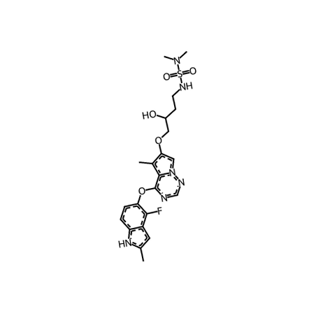 Cc1cc2c(F)c(Oc3ncnn4cc(OCC(O)CCNS(=O)(=O)N(C)C)c(C)c34)ccc2[nH]1